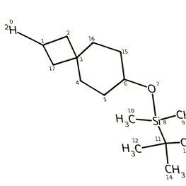 [2H]C1CC2(CCC(O[Si](C)(C)C(C)(C)C)CC2)C1